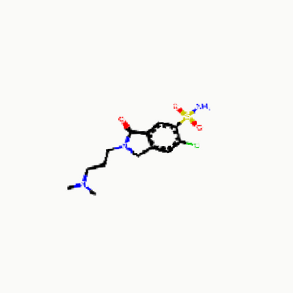 CN(C)CCCN1Cc2cc(Cl)c(S(N)(=O)=O)cc2C1=O